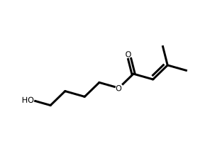 CC(C)=CC(=O)OCCCCO